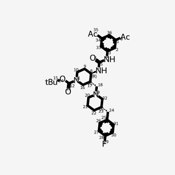 CC(=O)c1cc(NC(=O)N[C@@H]2CCN(C(=O)OC(C)(C)C)C[C@H]2CN2CCC[C@@H](Cc3ccc(F)cc3)C2)cc(C(C)=O)c1